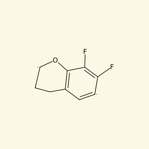 Fc1[c]cc2c(c1F)O[CH]CC2